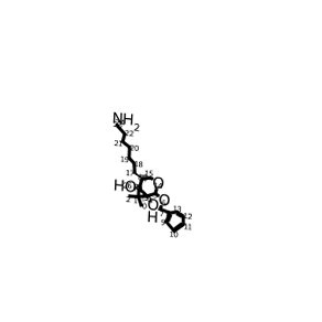 CC1(C)[C@@]2(O)C(OCc3ccccc3)OC[C@H](CCCCCCCN)[C@]12O